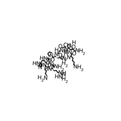 C[C@H](NC(=O)[C@@H](NC(=O)[C@@H](N)CCCCN)[C@@H](O)CN)C(=O)NCC(=O)N[C@H](CCCN)C(=O)N1CCC[C@H]1C(=O)NC(Cc1cnc[nH]1)C(=O)N[C@@H](CCCCN)C(=O)N[C@H](CCCNC(=N)N)C(N)=O